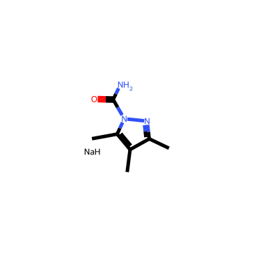 Cc1nn(C(N)=O)c(C)c1C.[NaH]